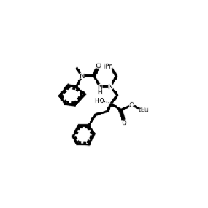 CC(C)CN(C[C@](O)(CCc1ccccc1)C(=O)OC(C)(C)C)NC(=O)N(C)c1ccccc1